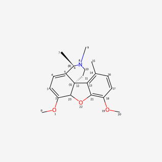 COC1=CC=C2[C@@H](C)N(C)CC[C@@]23c2c(C)ccc(OC)c2OC13